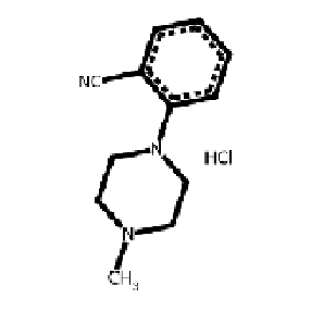 CN1CCN(c2ccccc2C#N)CC1.Cl